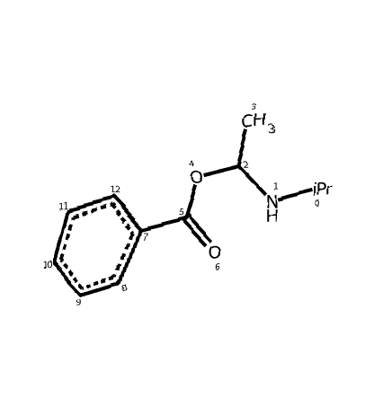 CC(C)NC(C)OC(=O)c1ccccc1